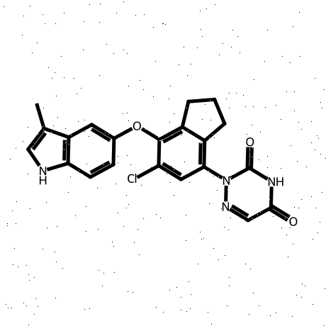 Cc1c[nH]c2ccc(Oc3c(Cl)cc(-n4ncc(=O)[nH]c4=O)c4c3CCC4)cc12